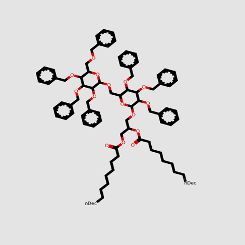 CCCCCCCCCCCCCCCCCC(=O)OCC(COC1OC(COC2OC(COCc3ccccc3)C(OCc3ccccc3)C(OCc3ccccc3)C2OCc2ccccc2)C(OCc2ccccc2)C(OCc2ccccc2)C1OCc1ccccc1)OC(=O)CCCCCCCCCCCCCCCCC